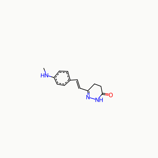 CNc1ccc(C=CC2=NNC(=O)CC2)cc1